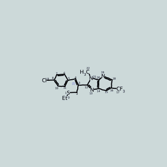 CCSC/C(=C\c1ccc(Cl)cc1)c1nc2cc(C(F)(F)F)cnc2n1C